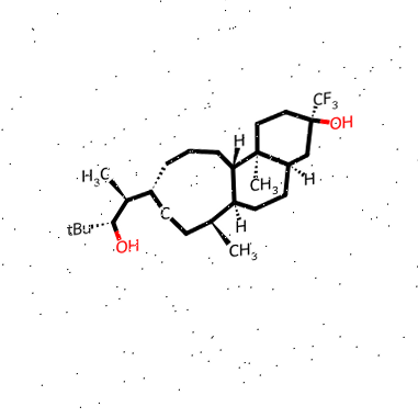 C[C@@H]([C@@H]1CCC[C@H]2[C@@H](CC[C@@H]3C[C@@](O)(C(F)(F)F)CC[C@@]32C)[C@@H](C)CC1)[C@H](O)C(C)(C)C